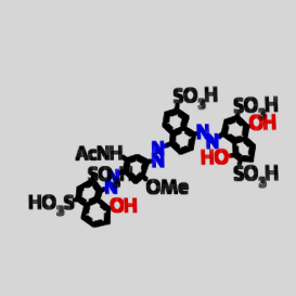 COc1cc(N=Nc2c(S(=O)(=O)O)cc(S(=O)(=O)O)c3cccc(O)c23)c(NC(C)=O)cc1N=Nc1ccc(N=Nc2cc(S(=O)(=O)O)c(O)c3ccc(S(=O)(=O)O)c(O)c23)c2cc(S(=O)(=O)O)ccc12